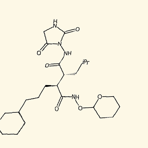 CC(C)C[C@@H](C(=O)NN1C(=O)CNC1=O)[C@H](CCCC1CCCCC1)C(=O)NOC1CCCCO1